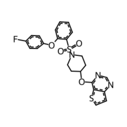 O=S(=O)(c1ccccc1Oc1ccc(F)cc1)N1CCC(Oc2ncnc3ccsc23)CC1